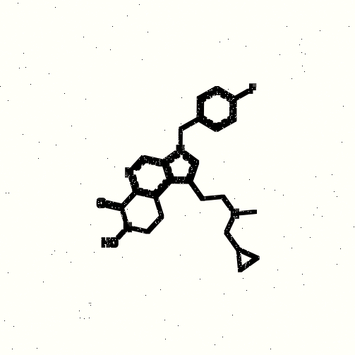 CN(CCc1cn(Cc2ccc(F)cc2)c2cnc3c(c12)CCN(O)C3=O)CC1CC1